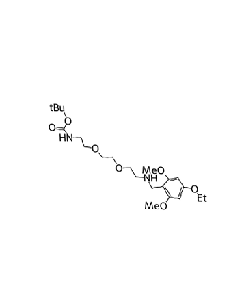 CCOc1cc(OC)c(CNCCOCCOCCNC(=O)OC(C)(C)C)c(OC)c1